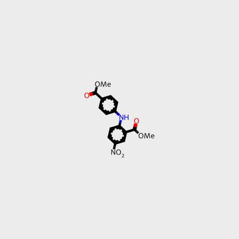 COC(=O)c1ccc(Nc2ccc([N+](=O)[O-])cc2C(=O)OC)cc1